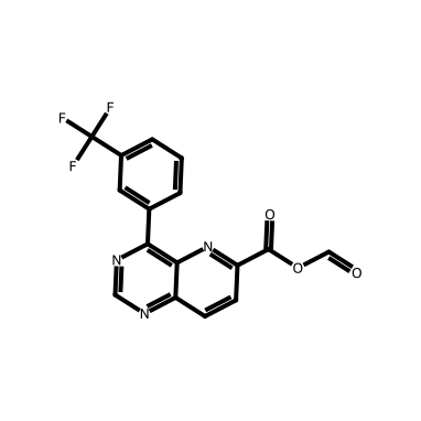 O=COC(=O)c1ccc2ncnc(-c3cccc(C(F)(F)F)c3)c2n1